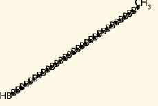 B=BB=BB=BB=BB=BB=BB=BB=BB=BB=BB=BB=BB=BB=BB=BCC